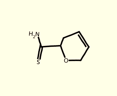 NC(=S)C1CC=CCO1